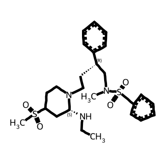 CCN[C@@H]1CC(S(C)(=O)=O)CCN1CC[C@@H](CN(C)S(=O)(=O)c1ccccc1)c1ccccc1